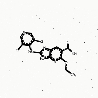 CCOc1nc2[nH]c(Nc3c(Cl)cncc3Cl)nc2cc1C(=O)O